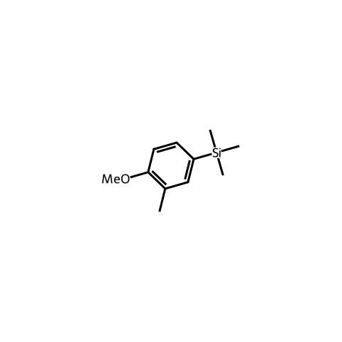 COc1ccc([Si](C)(C)C)cc1C